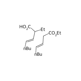 CCCCC=CC(CC)C(=O)O.CCCCC=CCC(=O)OCC